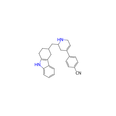 N#Cc1ccc(C2=CCNC(CC3CCc4[nH]c5ccccc5c4C3)C2)cc1